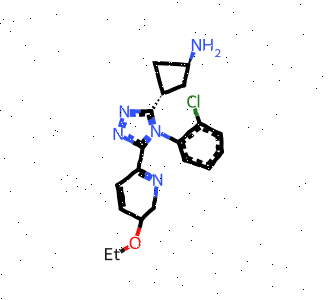 CCOC1C=CC(c2nnc([C@H]3C[C@H](N)C3)n2-c2ccccc2Cl)=NC1